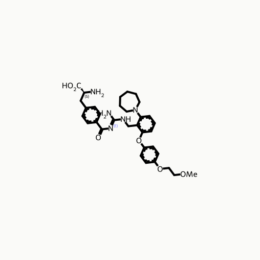 COCCOc1ccc(Oc2cccc(N3CCCCCC3)c2CN/C(N)=N/C(=O)c2ccc(C[C@H](N)C(=O)O)cc2)cc1